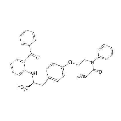 CCCCCCC(=O)N(CCOc1ccc(C[C@H](Nc2ccccc2C(=O)c2ccccc2)C(=O)O)cc1)c1ccccc1